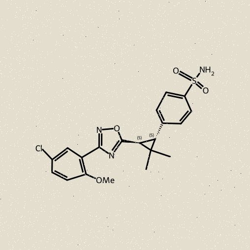 COc1ccc(Cl)cc1-c1noc([C@H]2[C@H](c3ccc(S(N)(=O)=O)cc3)C2(C)C)n1